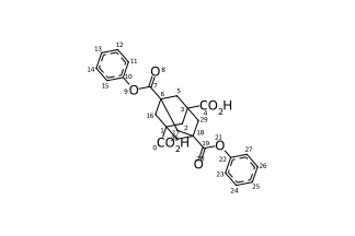 O=C(O)C12CC3(C(=O)O)CC(C(=O)Oc4ccccc4)(C1)CC(C(=O)Oc1ccccc1)(C2)C3